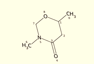 CC1CC(=O)N(C)CO1